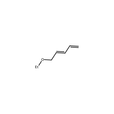 C=CC=CCOCC